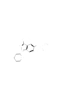 CC(C)(C)[Si](C)(C)Oc1ccc2c(c1)c(C=O)nn2[C@H]1CCCCO1